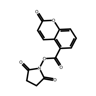 O=C(ON1C(=O)CCC1=O)c1cccc2oc(=O)ccc12